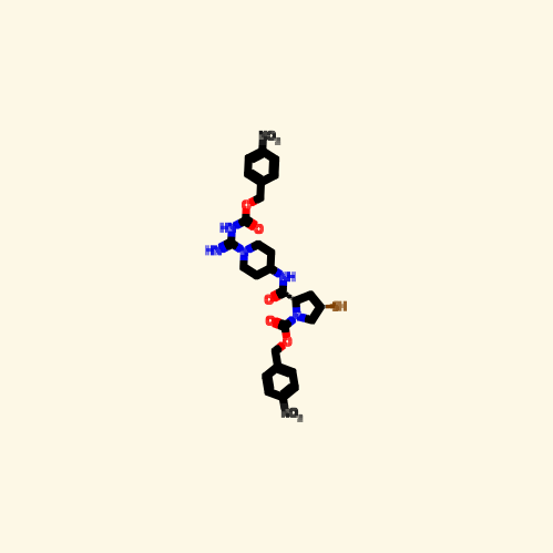 N=C(NC(=O)OCc1ccc([N+](=O)[O-])cc1)N1CCC(NC(=O)[C@@H]2C[C@H](S)CN2C(=O)OCc2ccc([N+](=O)[O-])cc2)CC1